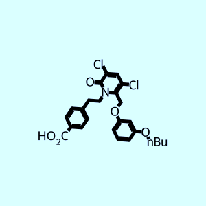 CCCCOc1cccc(OCc2c(Cl)cc(Cl)c(=O)n2CCc2ccc(C(=O)O)cc2)c1